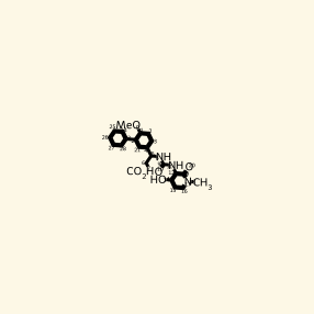 COc1ccc(C(CC(=O)O)NC(=O)Nc2c(O)ccn(C)c2=O)cc1-c1ccccc1